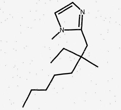 CCCCCC(C)(CC)Cc1nccn1C